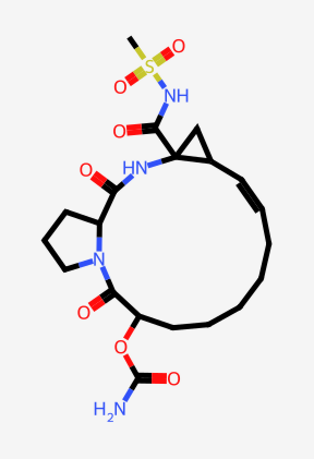 CS(=O)(=O)NC(=O)C12CC1C=CCCCCCC(OC(N)=O)C(=O)N1CCCC1C(=O)N2